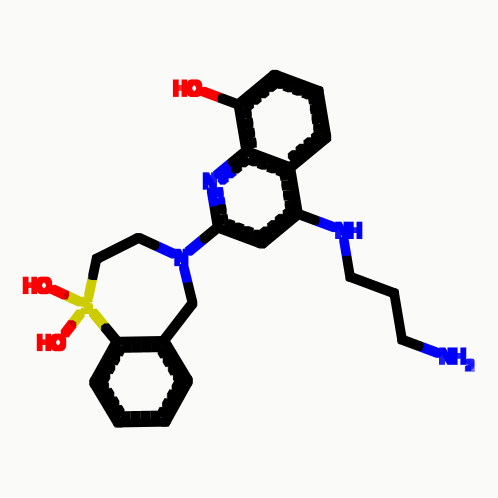 NCCCNc1cc(N2CCS(O)(O)c3ccccc3C2)nc2c(O)cccc12